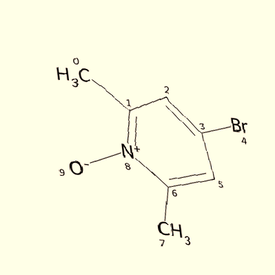 Cc1cc(Br)cc(C)[n+]1[O-]